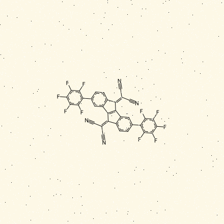 N#CC(C#N)=C1C2=C(C(=C(C#N)C#N)c3ccc(-c4c(F)c(F)c(F)c(F)c4F)cc32)c2cc(-c3c(F)c(F)c(F)c(F)c3F)ccc21